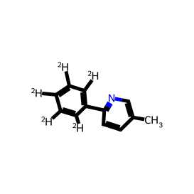 [2H]c1c([2H])c([2H])c(-c2ccc(C)cn2)c([2H])c1[2H]